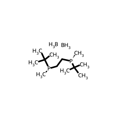 B.B.C[P@@](CC[P@](C)C(C)(C)C)C(C)(C)C